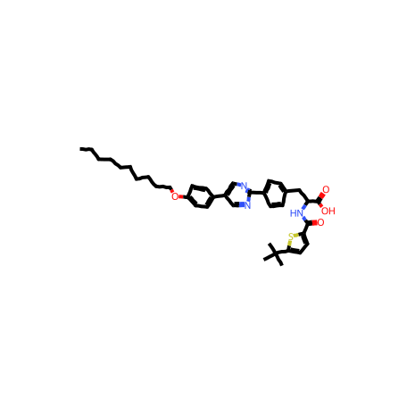 CCCCCCCCCCOc1ccc(-c2cnc(-c3ccc(CC(NC(=O)c4ccc(C(C)(C)C)s4)C(=O)O)cc3)nc2)cc1